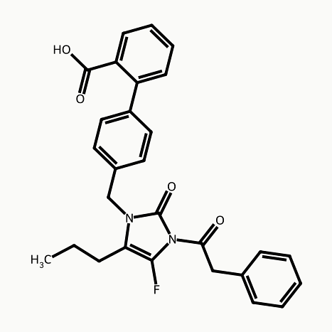 CCCc1c(F)n(C(=O)Cc2ccccc2)c(=O)n1Cc1ccc(-c2ccccc2C(=O)O)cc1